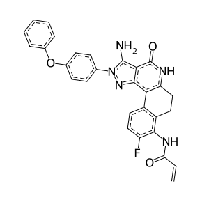 C=CC(=O)Nc1c(F)ccc2c1CCc1[nH]c(=O)c3c(N)n(-c4ccc(Oc5ccccc5)cc4)nc3c1-2